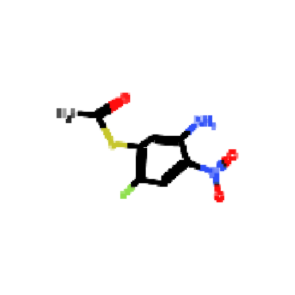 CC(=O)Sc1cc(N)c([N+](=O)[O-])cc1F